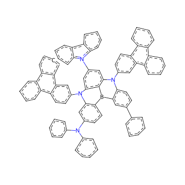 c1ccc(-c2ccc3c(c2)B2c4ccc(N(c5ccccc5)c5ccccc5)cc4N(c4ccc5c6ccccc6c6ccccc6c5c4)c4cc(-n5c6ccccc6c6ccccc65)cc(c42)N3c2ccc3c4ccccc4c4ccccc4c3c2)cc1